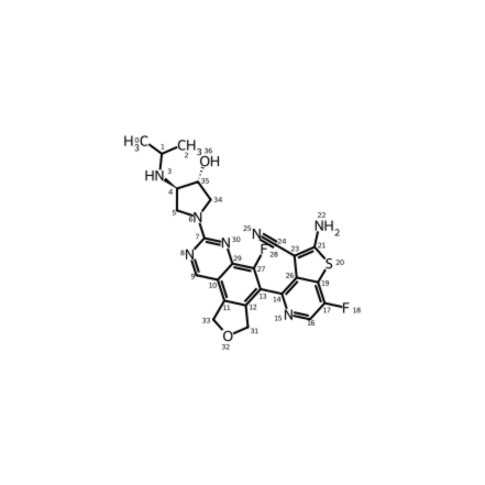 CC(C)N[C@@H]1CN(c2ncc3c4c(c(-c5ncc(F)c6sc(N)c(C#N)c56)c(F)c3n2)COC4)C[C@H]1O